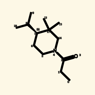 CCC(=O)N1CC[C@@H](C(C)C)C(C)(C)C1